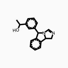 CC(O)c1cccc(C2c3ccccc3C3CN=CN32)c1